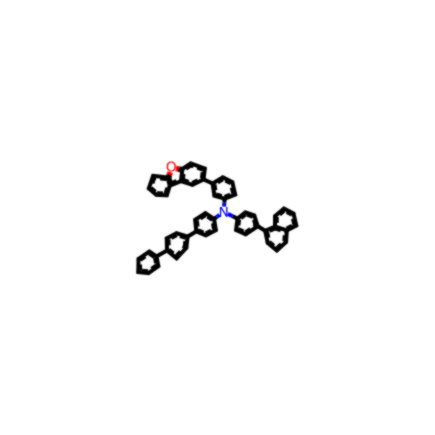 c1ccc(-c2ccc(-c3ccc(N(c4ccc(-c5cccc6ccccc56)cc4)c4cccc(-c5ccc6oc7ccccc7c6c5)c4)cc3)cc2)cc1